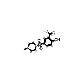 CN1CCN(S(=O)(=O)c2ccc(O)c(C(=O)O)c2)CC1